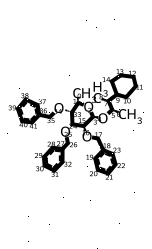 C[C@@H]1O[C@@H](O[C@H](C)[C@@H](C)[C]2CCCCC2)[C@@H](OCc2ccccc2)[C@H](OCc2ccccc2)[C@@H]1OCc1ccccc1